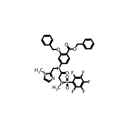 CN(CC(=O)N(Cc1nccn1C)c1ccc(C(=O)OCc2ccccc2)c(OCc2ccccc2)c1)S(=O)(=O)c1c(F)c(F)c(F)c(F)c1F